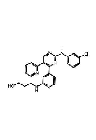 OCCCNc1cc(-c2nc(Nc3cccc(Cl)c3)ncc2-c2ccccn2)ccn1